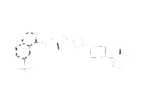 CCN(C(C)=O)[C@H]1CC[C@H](N2CC(NC(=O)CNc3ncnc4ccc(C(F)(F)F)cc34)C2)CC1